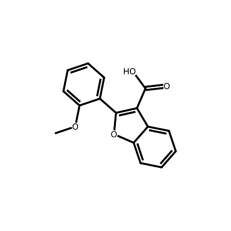 COc1ccccc1-c1oc2ccccc2c1C(=O)O